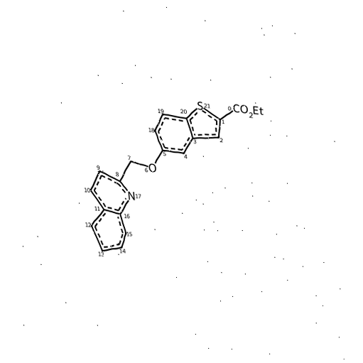 CCOC(=O)c1cc2cc(OCc3ccc4ccccc4n3)ccc2s1